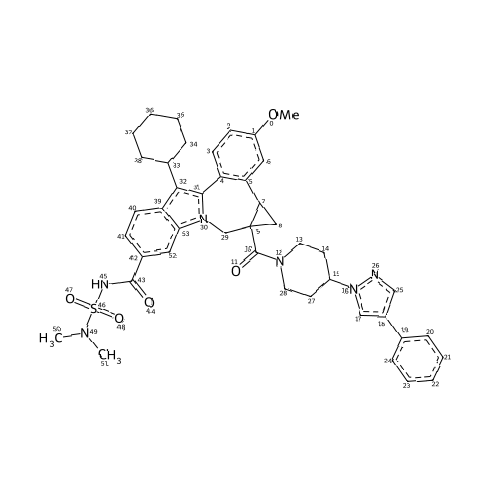 COc1ccc2c(c1)C1CC1(C(=O)N1CCC(n3cc(-c4ccccc4)cn3)CC1)Cn1c-2c(C2CCCCC2)c2ccc(C(=O)NS(=O)(=O)N(C)C)cc21